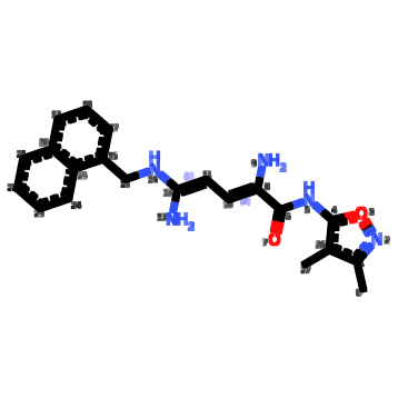 Cc1noc(NC(=O)/C(N)=C/C=C(\N)NCc2cccc3ccccc23)c1C